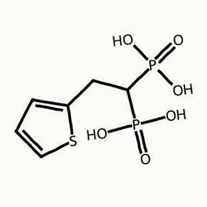 O=P(O)(O)C(Cc1cccs1)P(=O)(O)O